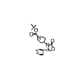 CC(C)(C)OC(=O)N1CCC(N2C(=O)OC[C@H]2c2ccsc2)CC1